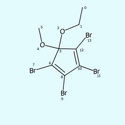 CCOC1(OC)C(Br)=C(Br)C(Br)=C1Br